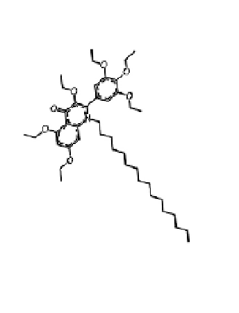 CCCCCCCCCCCCCCCCn1c(-c2cc(OCC)c(OCC)c(OCC)c2)c(OCC)c(=O)c2c(OCC)cc(OCC)cc21